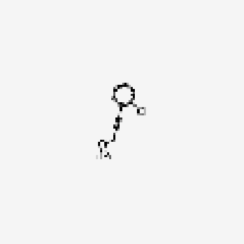 CCCOCC#Cc1ccccc1Cl